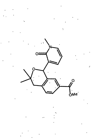 COC(=O)c1ccc2c(c1)C(c1cccn(C)c1=O)OC(C)(C)C2